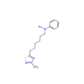 CC(=O)N(CCCCCCc1nc(C)ns1)c1ccccc1